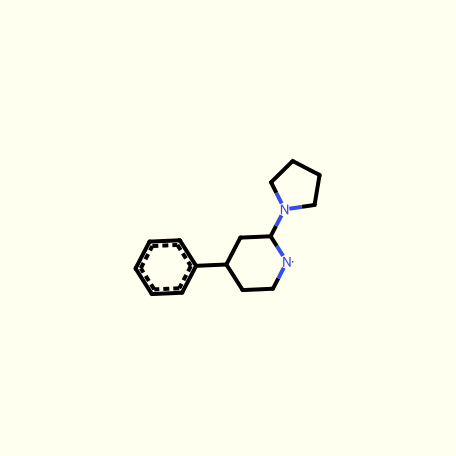 c1ccc(C2CC[N]C(N3CCCC3)C2)cc1